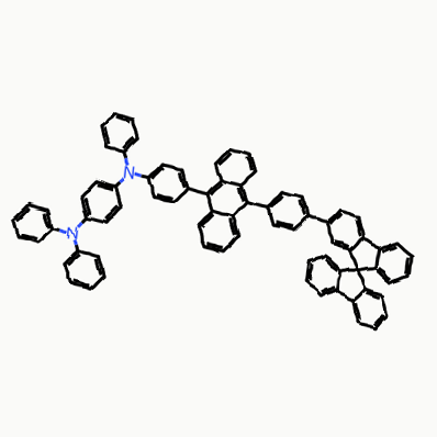 c1ccc(N(c2ccccc2)c2ccc(N(c3ccccc3)c3ccc(-c4c5ccccc5c(-c5ccc(-c6ccc7c(c6)C6(c8ccccc8-c8ccccc86)c6ccccc6-7)cc5)c5ccccc45)cc3)cc2)cc1